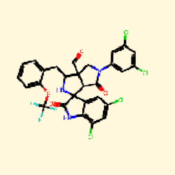 O=CC12CN(c3cc(Cl)cc(Cl)c3)C(=O)C1C1(NC2Cc2ccccc2OC(F)(F)F)C(=O)Nc2c(Cl)cc(Cl)cc21